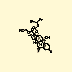 CC(C)C(OC(=O)O[C@@]1(C(=O)OCC#N)[C@H](C)C[C@H]2[C@@H]3C[C@H](F)C4=CC(=O)C=C[C@]4(C)C3(F)[C@@H](O)C[C@@]21C)C(C)C